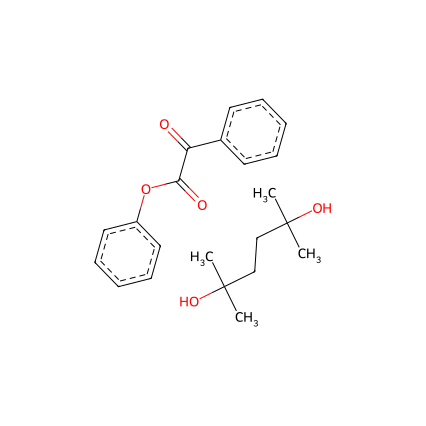 CC(C)(O)CCC(C)(C)O.O=C(Oc1ccccc1)C(=O)c1ccccc1